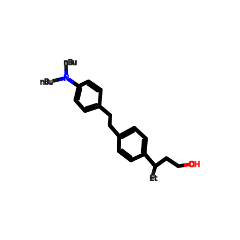 CCCCN(CCCC)c1ccc(CCc2ccc(C(CC)CCO)cc2)cc1